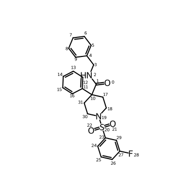 O=C(NCc1ccccc1)C1(c2ccccc2)CCN(S(=O)(=O)c2cccc(F)c2)CC1